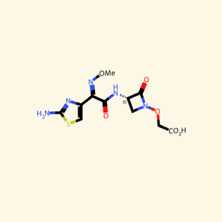 CON=C(C(=O)N[C@H]1CN(OCC(=O)O)C1=O)c1csc(N)n1